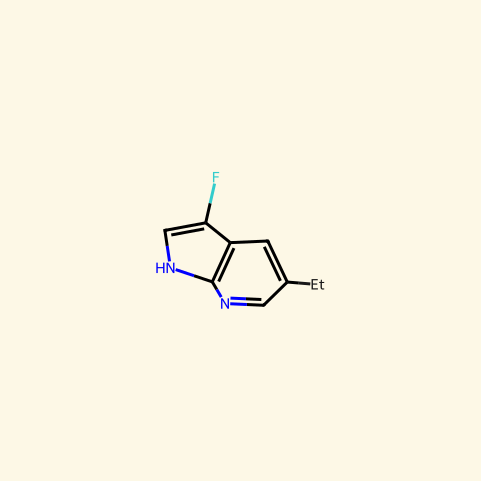 CCc1cnc2[nH]cc(F)c2c1